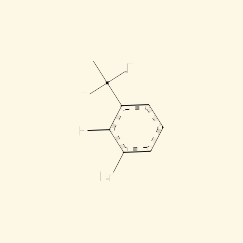 CC(F)(F)c1cccc(Br)c1F